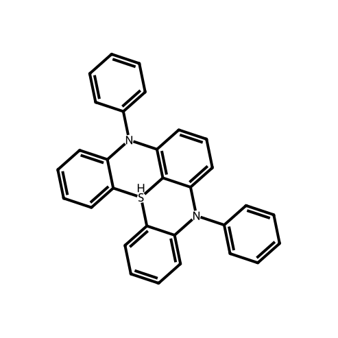 c1ccc(N2c3ccccc3[SH]3c4ccccc4N(c4ccccc4)c4cccc2c43)cc1